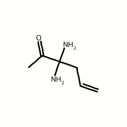 C=CCC(N)(N)C(C)=O